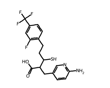 Nc1ccc(CC(C(=O)O)C(S)CCc2ccc(C(F)(F)F)cc2F)cn1